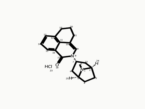 CN1[C@@H]2CC[C@H]1C[C@H](n1cc3c4c(cccc4c1=O)CCC3)C2.Cl